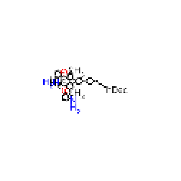 CCCCCCCCCCCCCCC[C@H]1CC[C@@H](C2CCC(c3cc(C)c(Oc4cccc(N)c4)c(C)c3)(c3cc(C)c(Oc4cccc(N)c4)c(C)c3)CC2)CC1